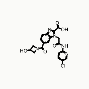 O=C(Cn1c(C(=O)O)nc2ccc(C(=O)N3CC(O)C3)cc21)Nc1ccc(Cl)cn1